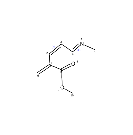 C=C(/C=C\C=N\C)C(=O)OC